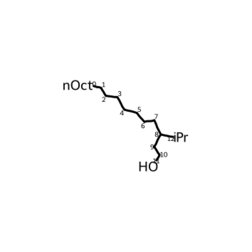 CCCCCCCCCCCCCCCC(CCO)C(C)C